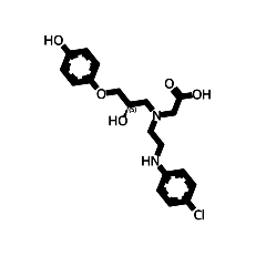 O=C(O)CN(CCNc1ccc(Cl)cc1)C[C@H](O)COc1ccc(O)cc1